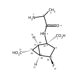 CC(N)C(=O)N[C@@]1(C(=O)O)C[C@@H](F)[C@H]2[C@H](C(=O)O)[C@H]21